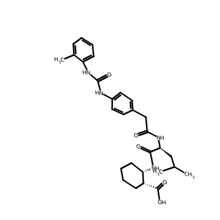 Cc1ccccc1NC(=O)Nc1ccc(CC(=O)N[C@@H](CC(C)C)C(=O)N[C@H]2CCCC[C@H]2C(=O)O)cc1